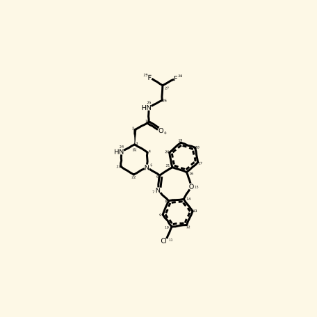 O=C(C[C@H]1CN(C2=Nc3cc(Cl)ccc3Oc3ccccc32)CCN1)NCC(F)F